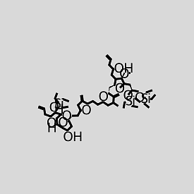 C=CCC(O)CC1[C@@H](OC)C(C[C@@H](CO[Si](CC)(CC)CC)O[Si](CC)(CC)CC)O[C@H]1C[C@H]1OC(CCC2OC(CC[C@]34CC(O)C(O3)[C@H]3C[C@@H](O4)C(O[Si](CC)(CC)CC)C(CC=C)O3)CC2=C)CC(C)C1=C